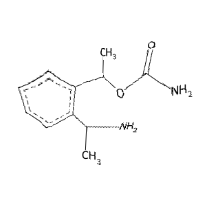 CC(N)c1ccccc1C(C)OC(N)=O